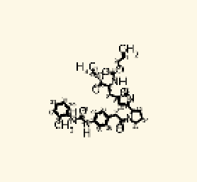 C=CCOC(=O)NC(Cc1cc(C2CCCN2C(=O)Cc2ccc(NC(=O)Nc3ccccc3C)cc2)no1)C(=O)OCC